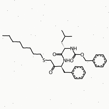 CCCCCCCCSCC(=O)[C@H](Cc1ccccc1)NC(=O)[C@H](CC(C)C)NC(=O)OCc1ccccc1